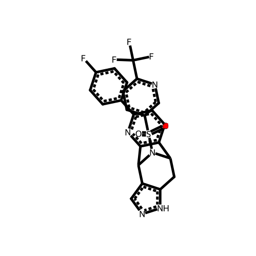 O=S(=O)(c1ccc(C(F)(F)F)nc1)N1C2Cc3[nH]ncc3C1c1nc(-c3ccc(F)cc3)ccc12